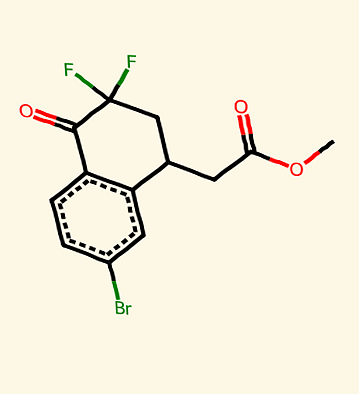 COC(=O)CC1CC(F)(F)C(=O)c2ccc(Br)cc21